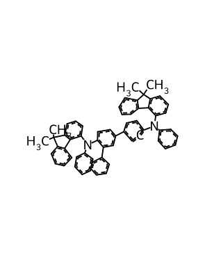 CC1(C)c2ccccc2-c2c(N(c3ccccc3)c3ccc(-c4ccc(N(c5ccccc5)c5cccc6c5-c5ccccc5C6(C)C)c(-c5ccccc5)c4)cc3)cccc21